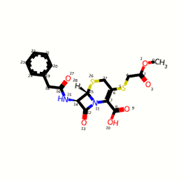 COC(=O)CSC1=C(C(=O)O)N2C(=O)[C@@H](NC(=O)Cc3ccccc3)[C@@H]2SC1